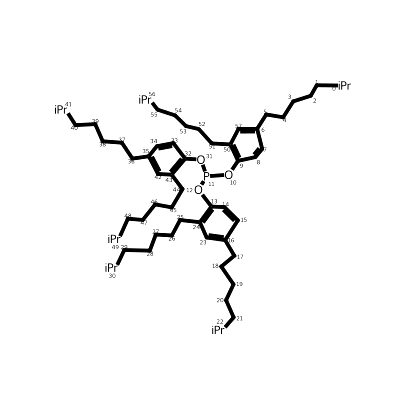 CC(C)CCCCCc1ccc(OP(Oc2ccc(CCCCCC(C)C)cc2CCCCCC(C)C)Oc2ccc(CCCCCC(C)C)cc2CCCCCC(C)C)c(CCCCCC(C)C)c1